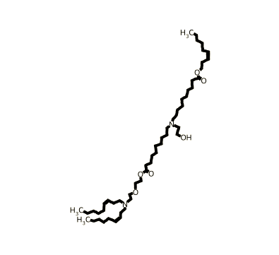 CCCCC/C=C\CCOC(=O)CCCCCCCCCN(CCO)CCCCCCCCCC(=O)OCCOCCN(CC/C=C\CCCCC)CC/C=C\CCCCC